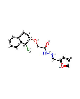 O=C(COc1ccc2ccccc2c1Br)N/N=C/c1ccco1